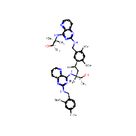 CCCC[C@@](C)(Nc1nc(NCc2cc(C(CC)C[C@@](C)(Nc3nc(NCc4ccc(OC)cc4OC)nc4cccnc34)[C@@H](C)O)c(OC)cc2OC)nc2cccnc12)[C@H](C)O